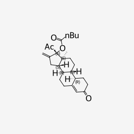 C=C1C[C@H]2[C@@H]3CCC4=CC(=O)CC[C@@H]4[C@H]3CC[C@]2(C)[C@]1(OC(=O)CCCC)C(C)=O